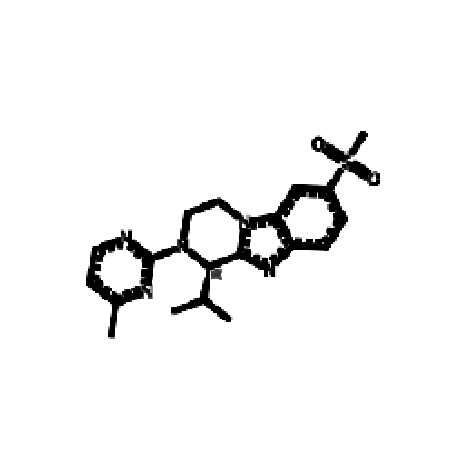 Cc1ccnc(N2CCn3c(nc4ccc(S(C)(=O)=O)cc43)[C@H]2C(C)C)n1